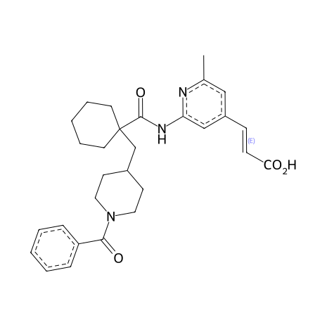 Cc1cc(/C=C/C(=O)O)cc(NC(=O)C2(CC3CCN(C(=O)c4ccccc4)CC3)CCCCC2)n1